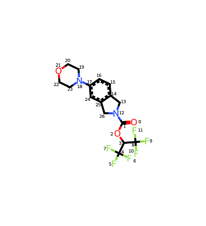 O=C(OC(C(F)(F)F)C(F)(F)F)N1Cc2ccc(N3CCOCC3)cc2C1